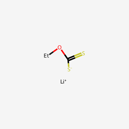 CCOC(=S)[S-].[Li+]